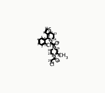 Cc1ccccc1C1c2ccsc2CCN1CC(=O)N1CCN(C(=O)CCl)C(C)C1